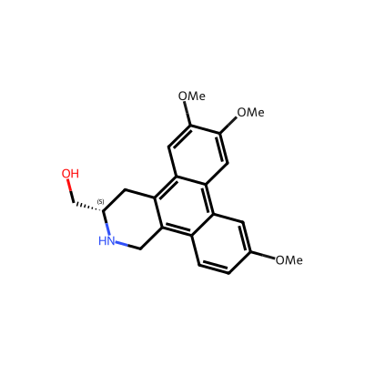 COc1ccc2c3c(c4cc(OC)c(OC)cc4c2c1)C[C@@H](CO)NC3